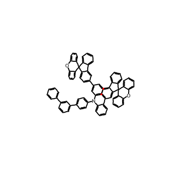 c1ccc(-c2cccc(-c3ccc(N(c4cccc(-c5ccc6c(c5)-c5ccccc5C65c6ccccc6Oc6ccccc65)c4)c4ccccc4-c4ccc5c(c4)C4(c6ccccc6Oc6ccccc64)c4ccccc4-5)cc3)c2)cc1